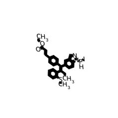 CCOC(=O)/C=C/c1ccc(/C(=C(/CC)c2ccccc2SC)c2ccc3c(cnn3PI)c2)cc1